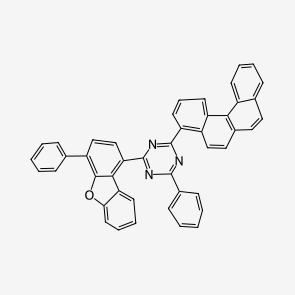 c1ccc(-c2nc(-c3cccc4c3ccc3ccc5ccccc5c34)nc(-c3ccc(-c4ccccc4)c4oc5ccccc5c34)n2)cc1